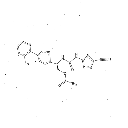 C#Cc1nc(NC(=O)N[C@@H](COC(N)=O)c2ccc(-c3ncccc3C#N)cc2)cs1